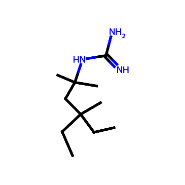 CCC(C)(CC)CC(C)(C)NC(=N)N